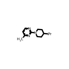 Cc1ccnc(N2CCC(C(C)C)CC2)n1